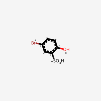 O=S(=O)(O)c1cc(Br)ccc1O